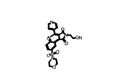 O=C1c2c(-c3ccncc3)nc3ccc(S(=O)(=O)N4CCOCC4)cc3c2C(=O)N1CCO